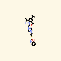 CC(C)c1cc(C(C)C)c(NC(=O)CN2CCN(CCCSc3nc4ccccc4o3)CC2)c(C(C)C)c1